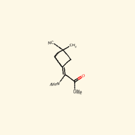 CNC(C(=O)OC)=C1CC(C)(C#N)C1